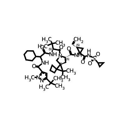 C=C[C@@H]1C[C@]1(NC(=O)[C@@H]1C[C@@]2(CN1C(=O)[C@@H](NC(=O)C(NC(=O)c1cc(C(C)(C)C)nn1C)C1CCCCC1)C(C)(C)C)C(C)(C)C21CCC1)C(=O)NS(=O)(=O)C1CC1